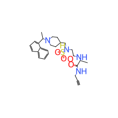 C#CCNC(=O)C(C)NC(=O)CN(CC1CCN(C(C)c2cccc3ccccc23)CC1)[SH](=O)=O